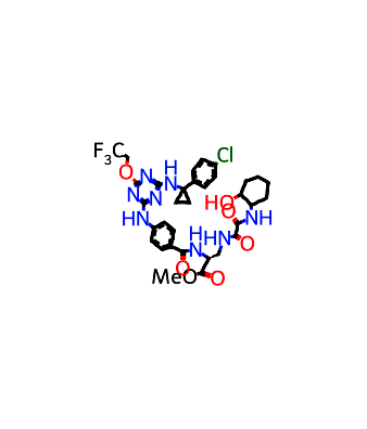 COC(=O)[C@H](CNC(=O)C(=O)NC1CCCCC1O)NC(=O)c1ccc(Nc2nc(NC3(c4ccc(Cl)cc4)CC3)nc(OCC(F)(F)F)n2)cc1